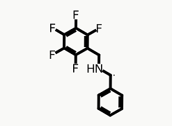 Fc1c(F)c(F)c(CN[CH]c2ccccc2)c(F)c1F